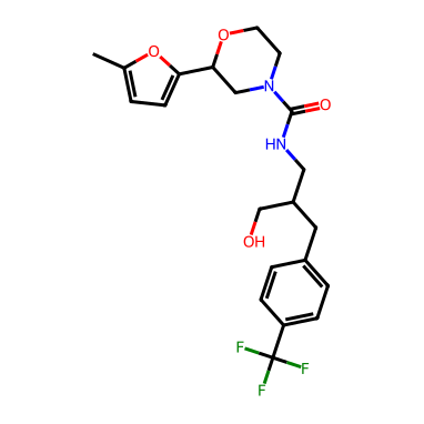 Cc1ccc(C2CN(C(=O)NCC(CO)Cc3ccc(C(F)(F)F)cc3)CCO2)o1